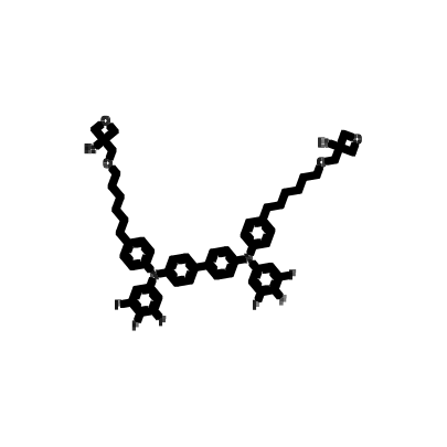 CCC1(COCCCCCCc2ccc(N(c3ccc(-c4ccc(N(c5ccc(CCCCCCOCC6(CC)COC6)cc5)c5cc(F)c(F)c(F)c5)cc4)cc3)c3cc(F)c(F)c(F)c3)cc2)COC1